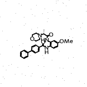 COc1ccc(NC(=O)c2ccc(-c3ccccc3)cc2)c(NC(=O)[C@@H](C)N2CCOCC2)c1